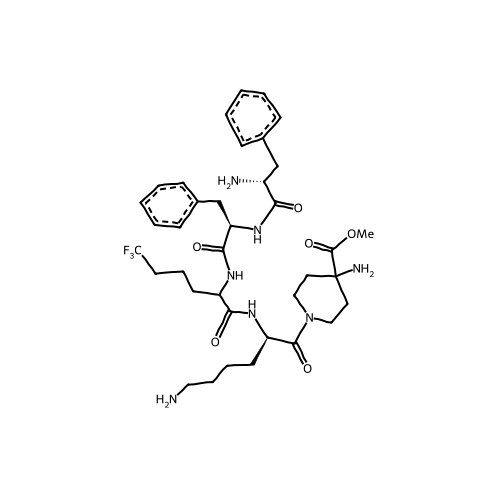 COC(=O)C1(N)CCN(C(=O)[C@@H](CCCCN)NC(=O)C(CCCC(F)(F)F)NC(=O)[C@@H](Cc2ccccc2)NC(=O)[C@H](N)Cc2ccccc2)CC1